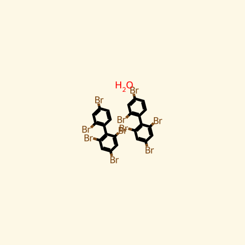 Brc1ccc(-c2c(Br)cc(Br)cc2Br)c(Br)c1.Brc1ccc(-c2c(Br)cc(Br)cc2Br)c(Br)c1.O